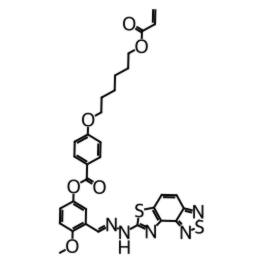 C=CC(=O)OCCCCCCOc1ccc(C(=O)Oc2ccc(OC)c(/C=N/Nc3nc4c(ccc5nsnc54)s3)c2)cc1